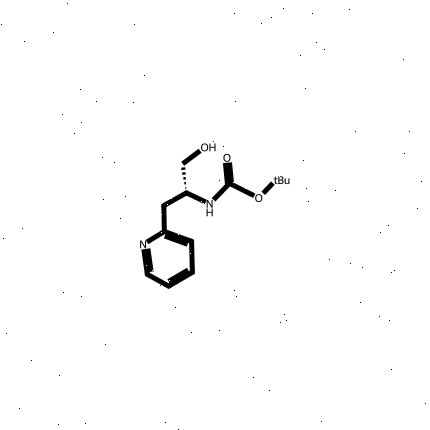 CC(C)(C)OC(=O)N[C@@H](CO)Cc1ccccn1